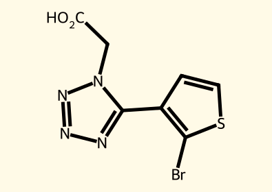 O=C(O)Cn1nnnc1-c1ccsc1Br